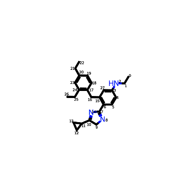 CCNc1ccc(C2=NCC(C3CC3)=N2)c(Cc2ccc(CC)cc2CC)c1